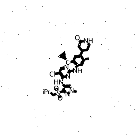 Cc1cc(Nc2ncc(Cl)c(Nc3cn(C)nc3S(=O)(=O)CC(C)C)n2)c(OC2CC2)cc1C1CCNC(=O)C1